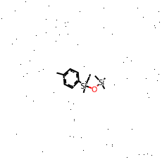 Cc1ccc([Si](C)(C)O[Si](C)(C)C)cc1